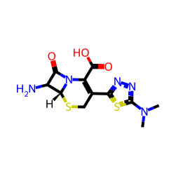 CN(C)c1nnc(C2=C(C(=O)O)N3C(=O)C(N)[C@H]3SC2)s1